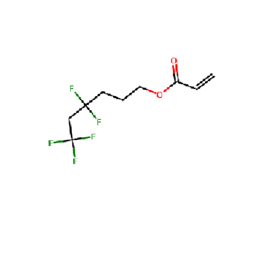 C=CC(=O)OCCCC(F)(F)CC(F)(F)F